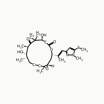 CSc1cc(/C=C(\C)[C@@H]2C[C@@H]3O[C@]3(C)CCC[C@H](C)[C@H](O)[C@@H](C)C(=O)C(C)(C)[C@@H](O)CC(=O)O2)nn1C